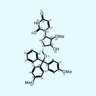 COc1ccc(C(OC[C@@H]2S[C@@H](n3ccc(=O)[nH]c3=O)C(OC)C2O)(c2ccccc2)c2ccc(OC)cc2)cc1